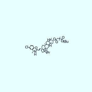 CC(C)C1=C2[C@H]3CC[C@@H]4[C@@]5(C)CC[C@H](OC(=O)CC(C)(C)C(=O)OC(C)(C)C)C(C)(C)[C@@H]5CC[C@@]4(C)[C@]3(C)CC[C@@]2(/C=C/C(=O)N[C@@H](C)c2cccc(Cl)c2)CC1